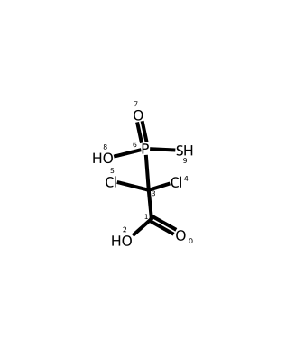 O=C(O)C(Cl)(Cl)P(=O)(O)S